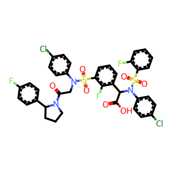 O=C(O)C(c1cccc(S(=O)(=O)N(CC(=O)N2CCCC2c2ccc(F)cc2)c2ccc(Cl)cc2)c1F)N(c1ccc(Cl)cc1)S(=O)(=O)c1ccccc1F